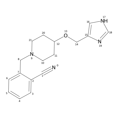 N#Cc1ccccc1CN1CCC(OCc2c[nH]cn2)CC1